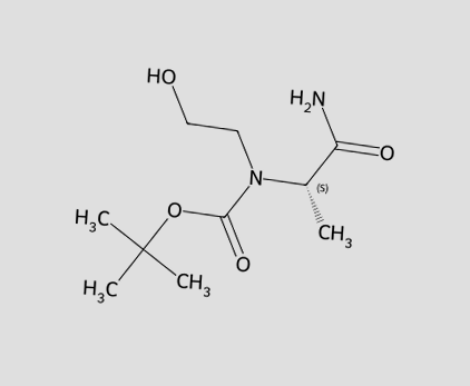 C[C@@H](C(N)=O)N(CCO)C(=O)OC(C)(C)C